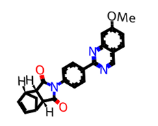 COc1ccc2cnc(-c3ccc(N4C(=O)[C@@H]5[C@H](C4=O)C4C=C[C@H]5C4)cc3)nc2c1